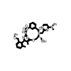 Cc1cccc(COC(C)C)c1-c1nc2nc(c1C)OC[C@@H](CC(C)(C)C)N(Cc1nccc(N(C)C(C)C)n1)C(=O)c1cccc(c1)S(=O)(=O)N2